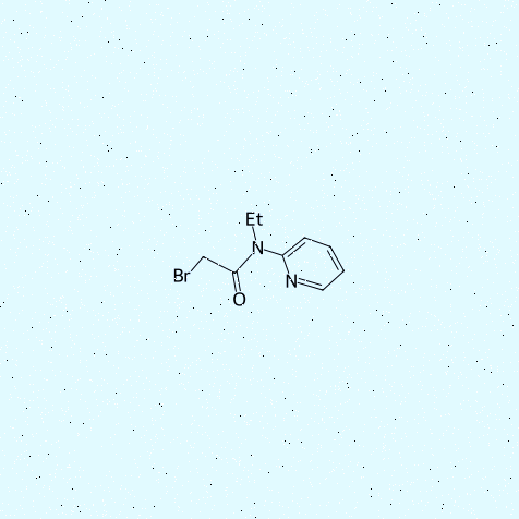 CCN(C(=O)CBr)c1ccccn1